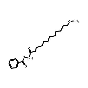 COCCCCCCCCCCCC(=O)NOC(=O)c1ccccc1